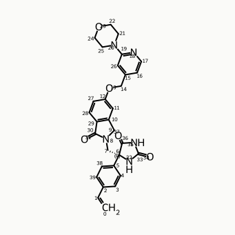 C=Cc1ccc([C@]2(CN3Cc4cc(OCc5ccnc(N6CCOCC6)c5)ccc4C3=O)NC(=O)NC2=O)cc1